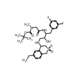 CCc1ccc2c(c1)C(NCC(O)C(Cc1cc(F)cc(F)c1)NC(=O)CN(C)C(=O)OC(C)(C)C)CS(=O)(=O)C2